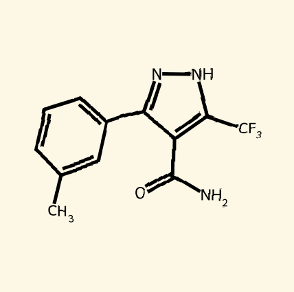 Cc1cccc(-c2n[nH]c(C(F)(F)F)c2C(N)=O)c1